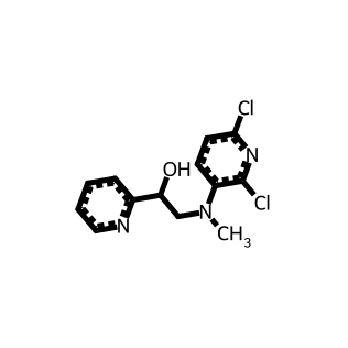 CN(CC(O)c1ccccn1)c1ccc(Cl)nc1Cl